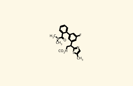 Cc1cnc(C(CC(=O)O)c2cc(F)cc(-c3ccccc3C(=O)N(C)C)c2)s1